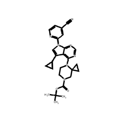 CC(C)(C)OC(=O)N1CCN(c2ncnc3c2c(C2CC2)cn3-c2cc(C#N)ccn2)C2(CC2)C1